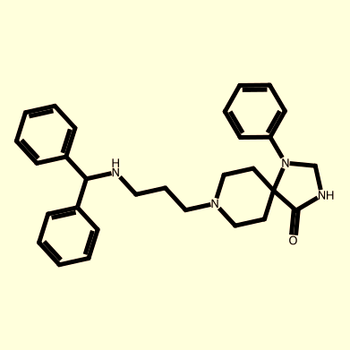 O=C1NCN(c2ccccc2)C12CCN(CCCNC(c1ccccc1)c1ccccc1)CC2